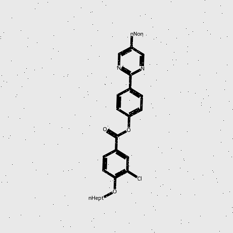 CCCCCCCCCc1cnc(-c2ccc(OC(=O)c3ccc(OCCCCCCC)c(Cl)c3)cc2)nc1